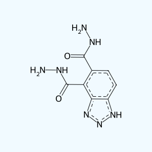 NNC(=O)c1ccc2[nH]nnc2c1C(=O)NN